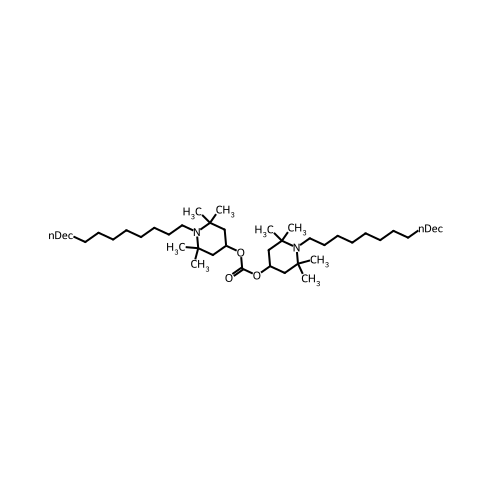 CCCCCCCCCCCCCCCCCCN1C(C)(C)CC(OC(=O)OC2CC(C)(C)N(CCCCCCCCCCCCCCCCCC)C(C)(C)C2)CC1(C)C